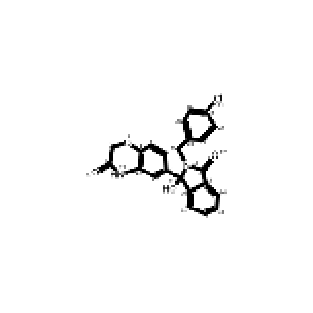 O=C1COc2ccc(C3(O)c4ccccc4C(=O)N3Cc3ccc(Cl)cc3)cc2N1